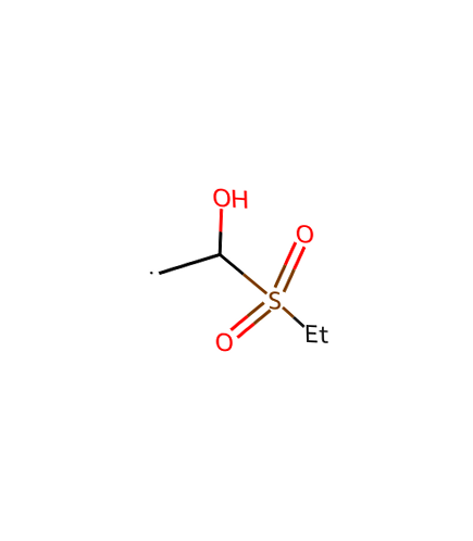 [CH2]C(O)S(=O)(=O)CC